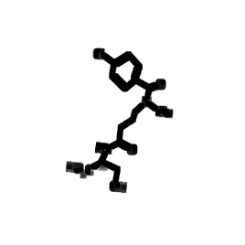 CC(C)(C)N(CCCC(=O)N[C@@H](CO)C(=O)O)C(=O)c1ccc(Cl)cc1